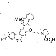 COc1ccccc1N(C)C(=O)c1cc(-c2cnc(C(C)(C)F)cc2C#N)c(C)cc1OCCCN1CCCC1C(=O)O